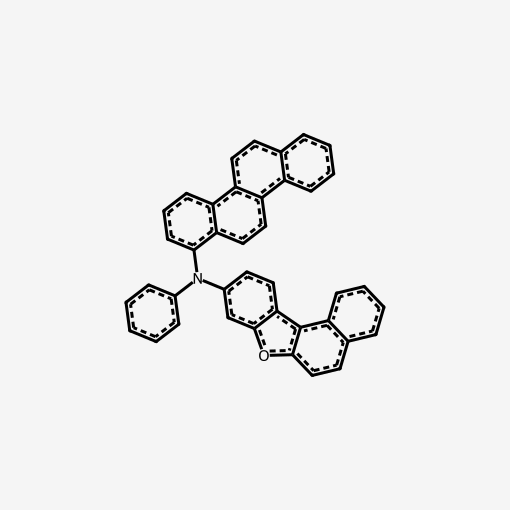 c1ccc(N(c2ccc3c(c2)oc2ccc4ccccc4c23)c2cccc3c2ccc2c4ccccc4ccc32)cc1